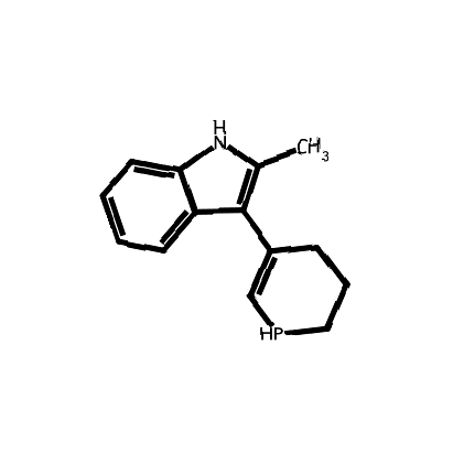 Cc1[nH]c2ccccc2c1C1=CPCCC1